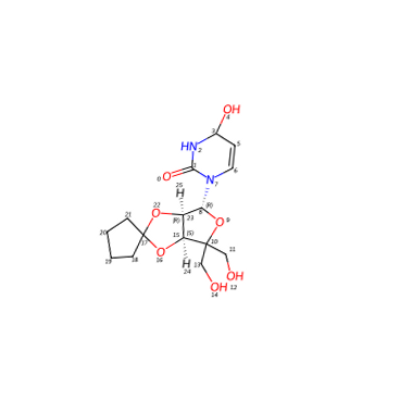 O=C1NC(O)C=CN1[C@@H]1OC(CO)(CO)[C@H]2OC3(CCCC3)O[C@@H]12